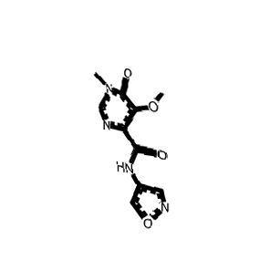 COc1c(C(=O)Nc2cnoc2)ncn(C)c1=O